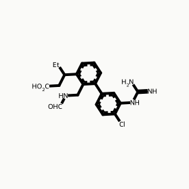 CCC(CC(=O)O)c1cccc(-c2ccc(Cl)c(NC(=N)N)c2)c1CNC=O